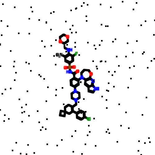 O=C(NS(=O)(=O)c1cc(F)c(NC[C@H]2COCCO2)c([N+](=O)[O-])c1)c1ccc(N2CCN(CC3=C(c4ccc(Cl)cc4)CC4(CCC4)CC3)CC2)cc1N1CCCOc2nc3[nH]ccc3cc21